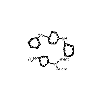 CCCCCN(CCCCC)c1ccc(N)cc1.c1ccc(Nc2ccc(Nc3ccccc3)cc2)cc1